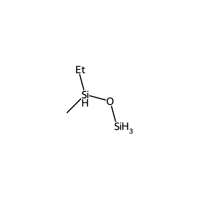 CC[SiH](C)O[SiH3]